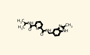 Cc1nc2cc(CNC(=O)c3cccc(C(=O)NC(C)C)n3)ccc2[nH]1